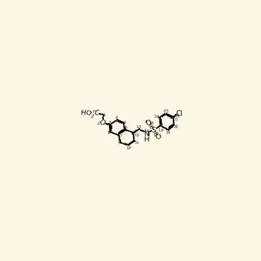 O=C(O)COc1ccc2c(c1)CCCC2CNS(=O)(=O)c1ccc(Cl)cc1